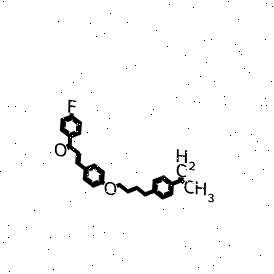 C=C(C)c1ccc(CCCCOc2ccc(C=CC(=O)c3ccc(F)cc3)cc2)cc1